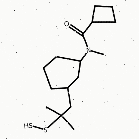 CN(C(=O)C1CCC1)C1CCCC(CC(C)(C)SS)C1